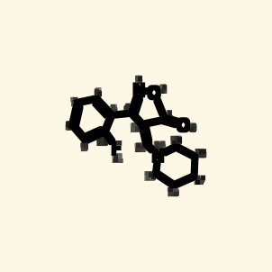 O=C1ON=C(c2ccccc2F)C1=CN1CCCCC1